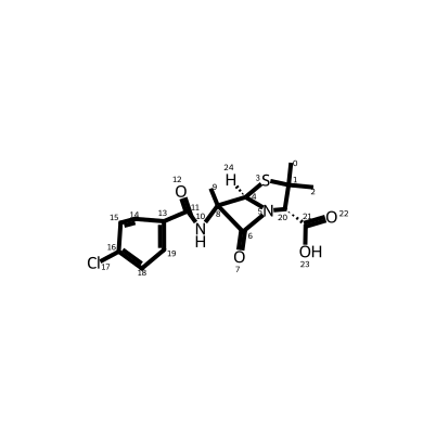 CC1(C)S[C@H]2N(C(=O)C2(C)NC(=O)c2ccc(Cl)cc2)[C@H]1C(=O)O